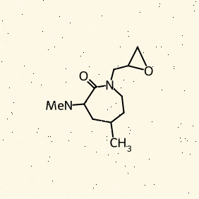 CNC1CC(C)CCN(CC2CO2)C1=O